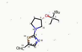 CC(C)(C)[Si](C)(C)O[C@H]1CCN(c2ncc(C=O)s2)C1